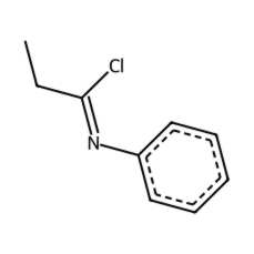 CCC(Cl)=Nc1ccccc1